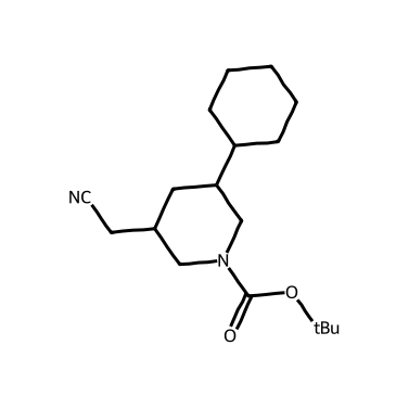 CC(C)(C)OC(=O)N1CC(CC#N)CC(C2CCCCC2)C1